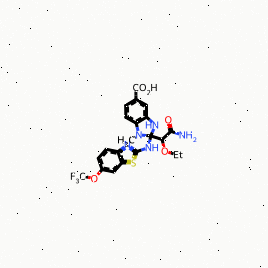 CCOC(C(N)=O)C1(Nc2nc3ccc(OC(F)(F)F)cc3s2)Nc2cc(C(=O)O)ccc2N1C